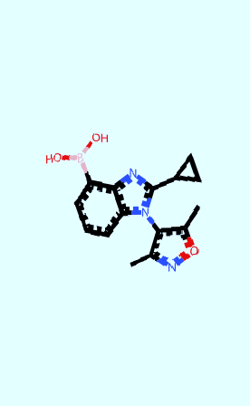 Cc1noc(C)c1-n1c(C2CC2)nc2c(B(O)O)cccc21